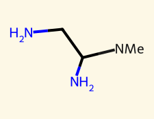 CNC(N)CN